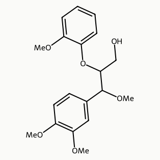 COc1ccc(C(OC)C(CO)Oc2ccccc2OC)cc1OC